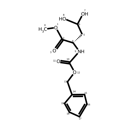 COC(=O)[C@H](CC(O)O)NC(=O)OCc1ccccc1